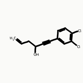 C=CCC(O)C#Cc1ccc(Cl)c(Cl)c1